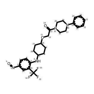 O=Nc1ccc(NC2CCC(OCC(=O)N3CCN(c4ccccc4)CC3)CC2)c(C(F)(F)F)c1